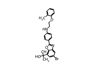 Cc1ccccc1OCCNc1ccc(-c2nc3cc(Br)cc(C(C)(C)O)c3o2)cc1